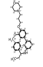 CCC(Nc1cncc(-c2ccc(OCCCN3CCOCC3)c(OC)c2)n1)c1ccccc1